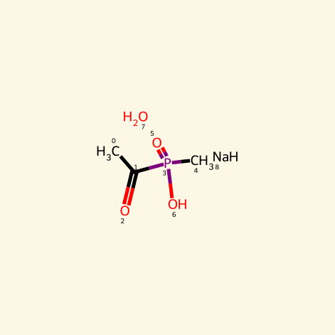 CC(=O)P(C)(=O)O.O.[NaH]